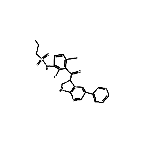 CCCS(=O)(=O)Nc1ccc(F)c(C(=O)C2CNc3ncc(-c4cccnc4)cc32)c1F